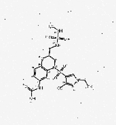 CCn1cc(S(=O)(=O)N2CC(CNS(=O)(=O)NC)Oc3ccc(NC(=O)O)cc32)c(Cl)n1